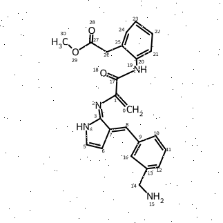 C=C(/N=C1/NC=C/C1=C\c1cccc(CN)c1)C(=O)Nc1ccccc1CC(=O)OC